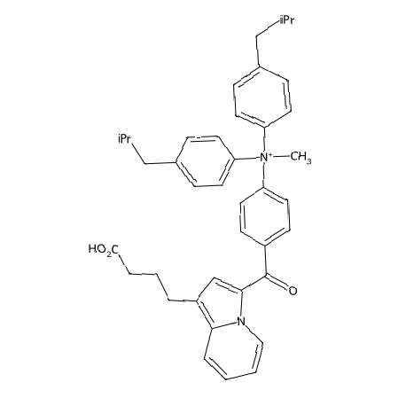 CC(C)Cc1ccc([N+](C)(c2ccc(CC(C)C)cc2)c2ccc(C(=O)c3cc(CCCC(=O)O)c4ccccn34)cc2)cc1